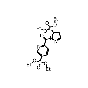 CCOP(=O)(OCC)c1ccc(C(=O)N2N=CCC2P(=O)(OCC)OCC)nc1